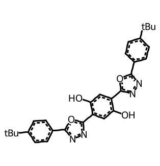 CC(C)(C)c1ccc(-c2nnc(-c3cc(O)c(-c4nnc(-c5ccc(C(C)(C)C)cc5)o4)cc3O)o2)cc1